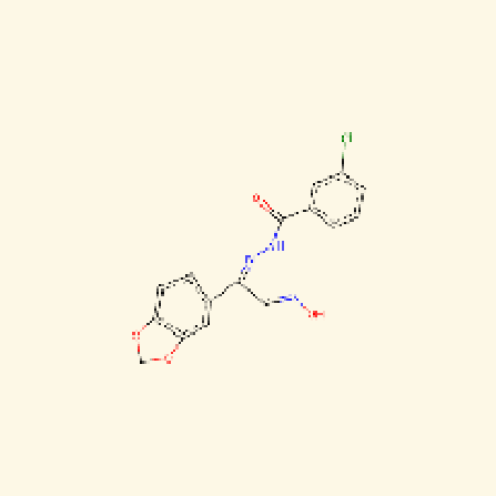 O=C(NN=C(C=NO)c1ccc2c(c1)OCO2)c1cccc(Cl)c1